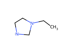 CCN1CC[N]C1